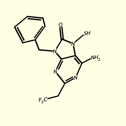 Nc1nc(CC(F)(F)F)nc2c1n(S)c(=O)n2Cc1ccccc1